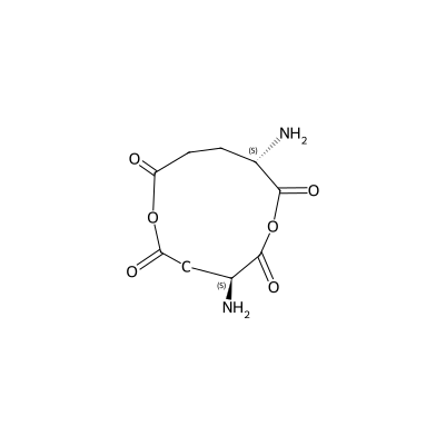 N[C@H]1CCC(=O)OC(=O)C[C@H](N)C(=O)OC1=O